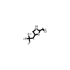 O=CC1NCC(CC(F)(F)F)S1